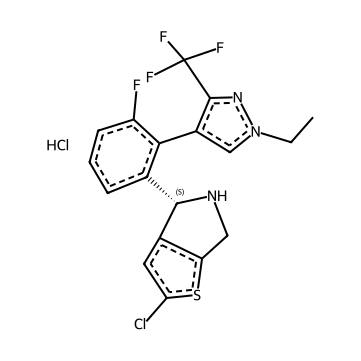 CCn1cc(-c2c(F)cccc2[C@@H]2NCc3sc(Cl)cc32)c(C(F)(F)F)n1.Cl